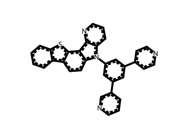 c1cncc(-c2cc(-c3ccncc3)cc(-n3c4cccnc4c4c5sc6ccccc6c5ccc43)c2)c1